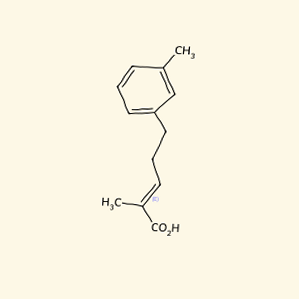 C/C(=C\CCc1cccc(C)c1)C(=O)O